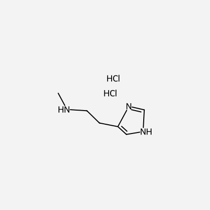 CNCCc1c[nH]cn1.Cl.Cl